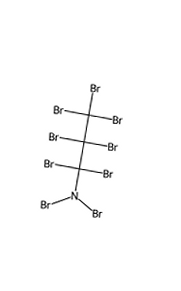 BrN(Br)C(Br)(Br)C(Br)(Br)C(Br)(Br)Br